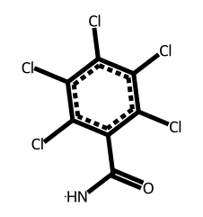 [NH]C(=O)c1c(Cl)c(Cl)c(Cl)c(Cl)c1Cl